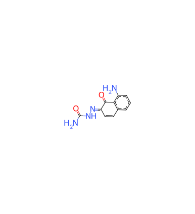 NC(=O)N/N=C1\C=Cc2cccc(N)c2C1=O